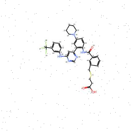 O=C(O)CCSCc1cccc(C(=O)Nc2ccc(N3CCCCC3)cc2-c2cc(Nc3cccc(C(F)(F)F)c3)ncn2)c1